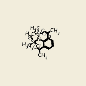 CC(C)c1cccc(C(C)C)c1N([Si](C)(C)C)[Si](C)(Cl)Cl